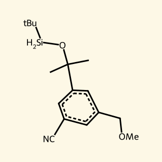 COCc1cc(C#N)cc(C(C)(C)O[SiH2]C(C)(C)C)c1